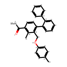 CNC(=O)c1ccc(-c2ccccc2-c2ccccc2)c(COc2ccc(C)cc2)c1C